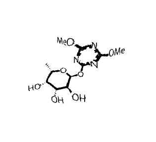 COc1nc(OC)nc(O[C@@H]2O[C@@H](C)[C@@H](O)[C@@H](O)[C@@H]2O)n1